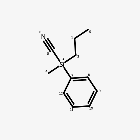 CCC[Si](C)(C#N)c1ccccc1